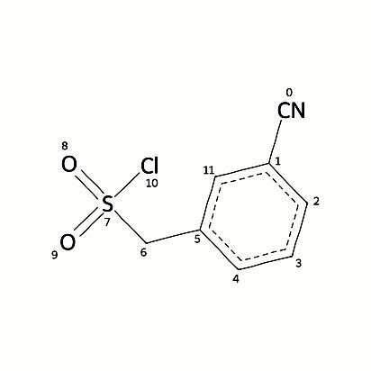 N#Cc1cccc(CS(=O)(=O)Cl)c1